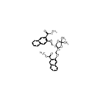 COC(=O)c1cc2ccccc2cc1OC[C@@H]1OC(C)(C)O[C@H]1COc1cc2ccccc2cc1C(=O)OC